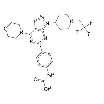 O=C(O)Nc1ccc(-c2nc(N3CCOCC3)c3cnn(C4CCN(CC(F)(F)F)CC4)c3n2)cc1